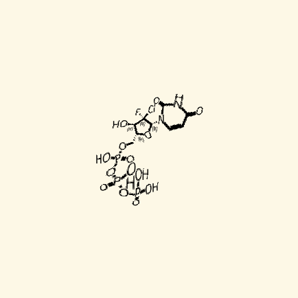 O=c1ccn([C@@H]2O[C@H](COP(=O)(O)OP(=O)(O)OP(=O)(O)O)[C@@H](O)[C@@]2(F)Cl)c(=O)[nH]1